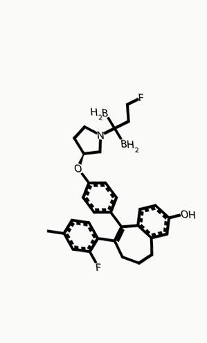 BC(B)(CCF)N1CC[C@H](Oc2ccc(C3=C(c4ccc(C)cc4F)CCCc4cc(O)ccc43)cc2)C1